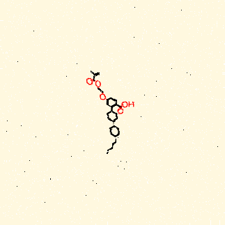 C=C(C)C(=O)OCCOc1ccc(C(=O)O)c(C2CCC([C@H]3CC[C@H](CCCCC)CC3)CC2)c1